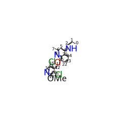 C/C=C\Nc1cc(C)nc2c(OCc3c(Cl)cnc(OC)c3Cl)cccc12